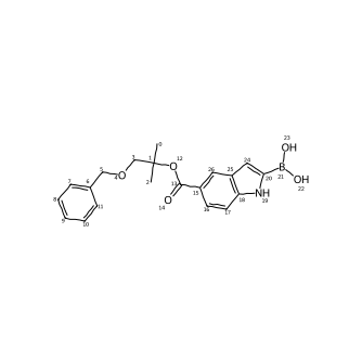 CC(C)(COCc1ccccc1)OC(=O)c1ccc2[nH]c(B(O)O)cc2c1